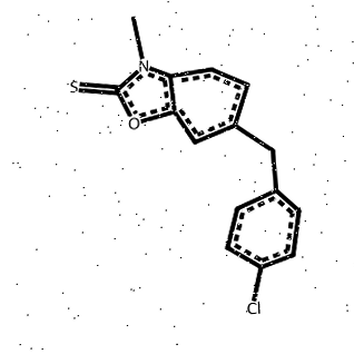 Cn1c(=S)oc2cc(Cc3ccc(Cl)cc3)ccc21